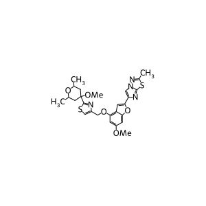 COc1cc(OCc2csc(C3(OC)CC(C)OC(C)C3)n2)c2cc(-c3cn4nc(C)sc4n3)oc2c1